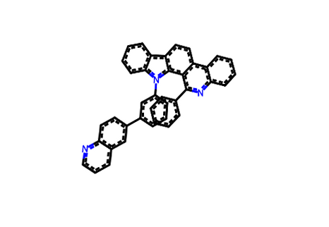 c1ccc(-c2nc3ccccc3c3ccc4c5ccccc5n(-c5cccc(-c6ccc7ncccc7c6)c5)c4c23)cc1